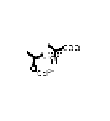 CC(Cl)C(=O)[O-].CC(Cl)C(=O)[O-].[Cd+2]